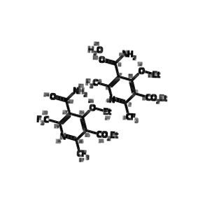 CCOC(=O)c1c(C(F)(F)F)nc(C(F)(F)F)c(C(N)=O)c1OCC.CCOC(=O)c1c(C(F)(F)F)nc(C(F)(F)F)c(C(N)=O)c1OCC.O